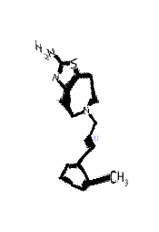 Cc1ccccc1/C=C/CN1CCc2nc(N)sc2CC1